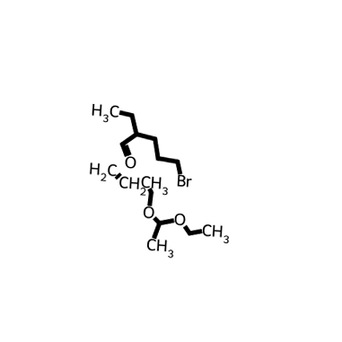 C=C.CCC(C=O)CCCBr.CCOC(C)OCC